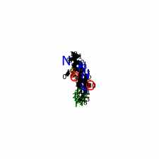 CC[S+]([O-])c1cc(C2(C#N)CC2)cnc1-c1cc2ccn(CC(F)(F)C(F)(F)F)c(=O)c2cn1